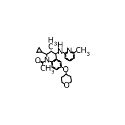 CC(=O)N1c2ccc(OC3CCOCC3)cc2[C@H](Nc2cccc(C)n2)[C@@H](C)C1C1CC1